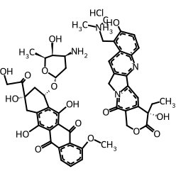 CC[C@@]1(O)C(=O)OCc2c1cc1n(c2=O)Cc2cc3c(CN(C)C)c(O)ccc3nc2-1.COc1cccc2c1C(=O)c1c(O)c3c(c(O)c1C2=O)C[C@@](O)(C(=O)CO)C[C@@H]3O[C@H]1C[C@H](N)[C@H](O)[C@H](C)O1.Cl